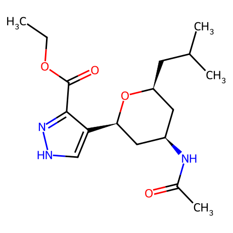 CCOC(=O)c1n[nH]cc1[C@@H]1C[C@H](NC(C)=O)C[C@H](CC(C)C)O1